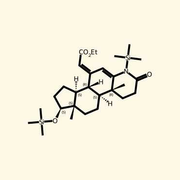 CCOC(=O)C=C1C=C2N([Si](C)(C)C)C(=O)CC[C@]2(C)[C@H]2CC[C@]3(C)[C@@H](O[Si](C)(C)C)CC[C@H]3[C@H]12